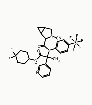 CC(C(=O)NC1CCC(F)(F)CC1)(c1cccnc1)N(C(=O)C1C2CC2CN1C#N)c1ccc(S(F)(F)(F)(F)F)cc1